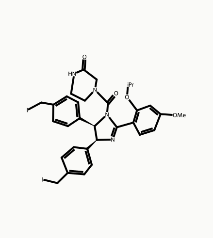 COc1ccc(C2=N[C@@H](c3ccc(CI)cc3)[C@@H](c3ccc(CI)cc3)N2C(=O)N2CCNC(=O)C2)c(OC(C)C)c1